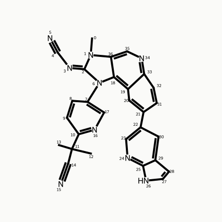 Cn1c(=NC#N)n(-c2ccc(C(C)(C)C#N)nc2)c2c3cc(-c4cnc5[nH]ccc5c4)ccc3ncc21